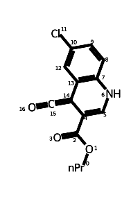 CCCOC(=O)C1=CNc2ccc(Cl)cc2C1=C=O